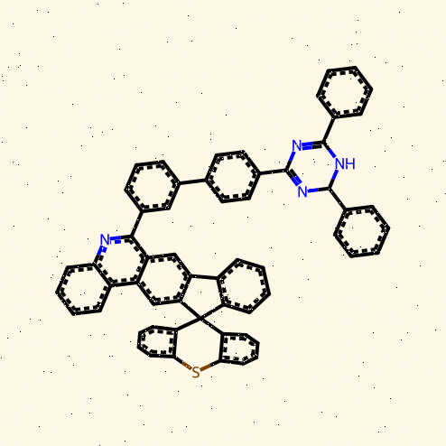 c1ccc(C2=NC(c3ccc(-c4cccc(-c5nc6ccccc6c6cc7c(cc56)-c5ccccc5C75c6ccccc6Sc6ccccc65)c4)cc3)=NC(c3ccccc3)N2)cc1